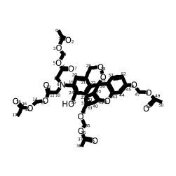 CC(=O)OCOC(=O)CN(CC(=O)OCOC(C)=O)c1cc2c(cc1O)C1(OOC2)c2ccc(OCOC(C)=O)cc2Oc2cc(OCOC(C)=O)ccc21